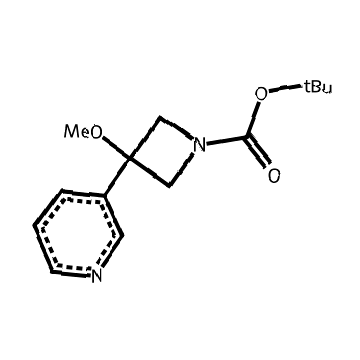 COC1(c2cccnc2)CN(C(=O)OC(C)(C)C)C1